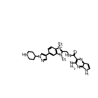 CCn1c(CNC(=O)c2nc3cc[nH]c3nc2N)[n+](CC)c2ccc(-c3cnn(C4CCNCC4)c3)cc21